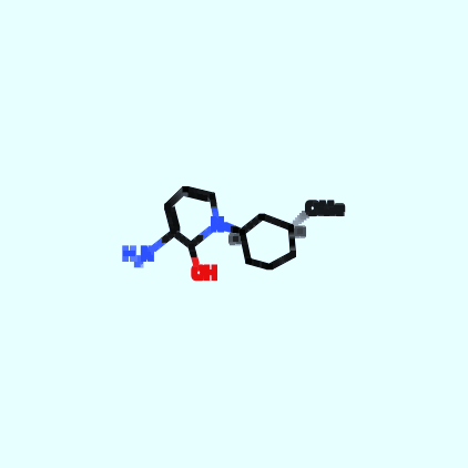 CO[C@@H]1CCC[C@@H](N2C=CC=C(N)C2O)C1